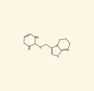 C1=CNC(SCC2=CSC3=NCCCN23)NC1